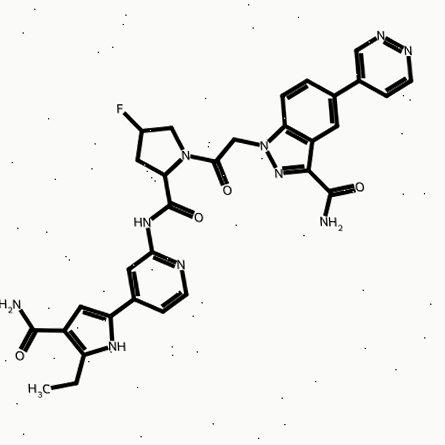 CCc1[nH]c(-c2ccnc(NC(=O)C3CC(F)CN3C(=O)Cn3nc(C(N)=O)c4cc(-c5ccnnc5)ccc43)c2)cc1C(N)=O